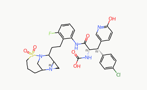 O=C(O)N[C@H](C(=O)Nc1cccc(F)c1CCC1C2C[N@@]2C2CCCS(=O)(=O)N1C2)[C@@H](c1ccc(Cl)cc1)c1ccc(O)nc1